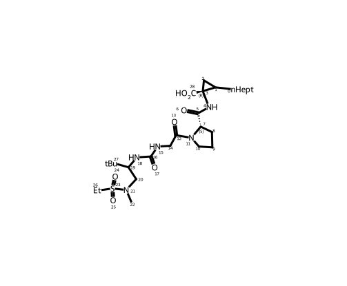 CCCCCCCC1C[C@]1(NC(=O)[C@@H]1CCCN1C(=O)CNC(=O)NC(CN(C)S(=O)(=O)CC)C(C)(C)C)C(=O)O